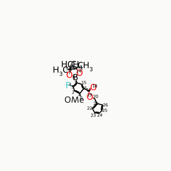 COc1cc(F)c(B2OC(C)(C)C(C)(C)O2)cc1C(=O)OCc1ccccc1